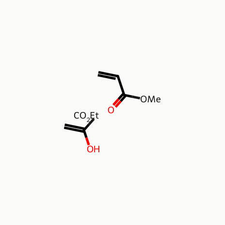 C=C(O)C(=O)OCC.C=CC(=O)OC